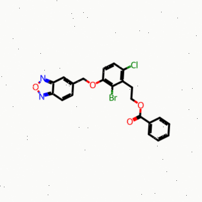 O=C(OCCc1c(Cl)ccc(OCc2ccc3nonc3c2)c1Br)c1ccccc1